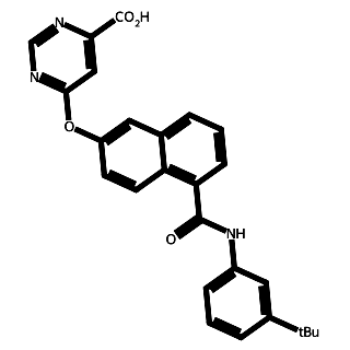 CC(C)(C)c1cccc(NC(=O)c2cccc3cc(Oc4cc(C(=O)O)ncn4)ccc23)c1